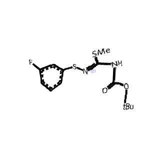 CS/C(=N\Sc1cccc(F)c1)NC(=O)OC(C)(C)C